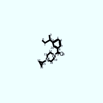 CCC(C)c1cccc(C(=O)N2CCN(C3CC3)CC2)c1